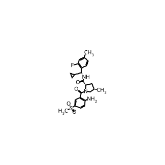 Cc1ccc([C@H](NC(=O)[C@H]2C[C@@H](C)CN2C(=O)c2cc(S(C)(=O)=O)ccc2N)C2CC2)c(F)c1